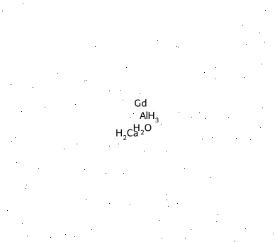 O.[AlH3].[CaH2].[Gd]